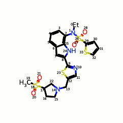 CCN(c1cccc2cc(-c3ncc(CN4CCC(S(C)(=O)=O)C4)s3)[nH]c12)S(=O)(=O)c1cccs1